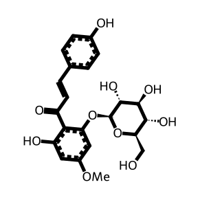 COc1cc(O)c(C(=O)/C=C/c2ccc(O)cc2)c(O[C@@H]2O[C@H](CO)[C@@H](O)[C@H](O)[C@H]2O)c1